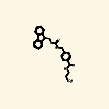 O=C(O)CCNC(=O)c1ccc(CNC(=O)OCC2c3ccccc3-c3ccccc32)cc1